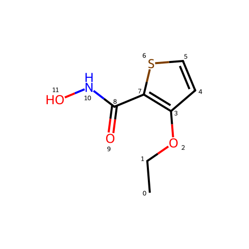 CCOc1ccsc1C(=O)NO